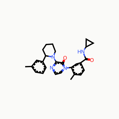 Cc1cccc(C2CCCCN2c2nccn(-c3cc(C(=O)NC4CC4)ccc3C)c2=O)c1